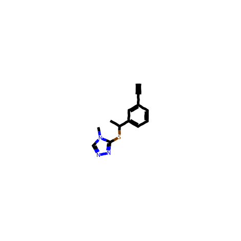 C#Cc1cccc(C(C)Sc2nncn2C)c1